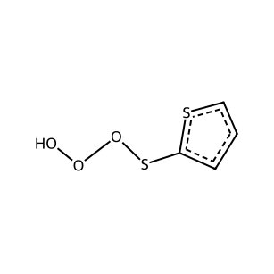 OOOSc1cccs1